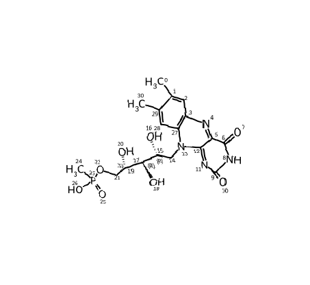 Cc1cc2nc3c(=O)[nH]c(=O)nc-3n(C[C@@H](O)[C@@H](O)[C@@H](O)COP(C)(=O)O)c2cc1C